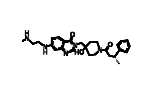 CNCCNc1ccc2c(=O)n(CC3(O)CCN(C(=O)C[C@@H](C)c4ccccc4)CC3)cnc2c1